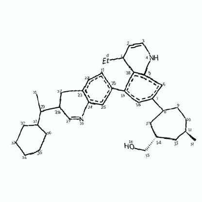 CCC1C=CNc2cc(C3CC[C@@H](C)C[C@H](CO)C3)cc(-c3ccc4c(c3)N=CC(C(C)C3CCCCC3)C4)c21